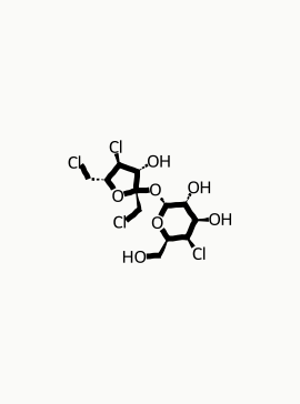 OC[C@H]1O[C@H](O[C@]2(CCl)O[C@H](CCl)[C@@H](Cl)[C@@H]2O)[C@H](O)[C@@H](O)[C@H]1Cl